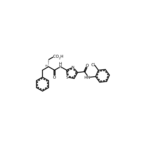 O=C(O)C[C@@H](Cc1ccccc1)C(=O)Nc1nc(C(=O)Nc2ccccc2Cl)cs1